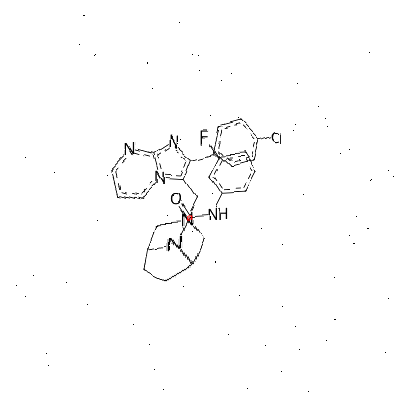 O=C(Nc1cccc(F)c1)N1C2CCC1CN(Cc1c(-c3ccc(Cl)cc3)nc3ncccn13)C2